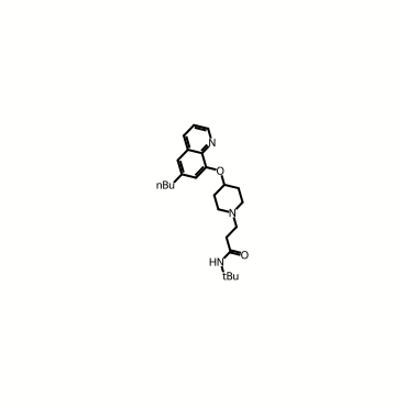 CCCCc1cc(OC2CCN(CCC(=O)NC(C)(C)C)CC2)c2ncccc2c1